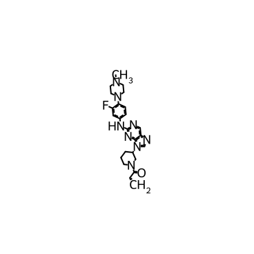 C=CC(=O)N1CCCC(n2cnc3cnc(Nc4ccc(N5CCN(C)CC5)c(F)c4)nc32)C1